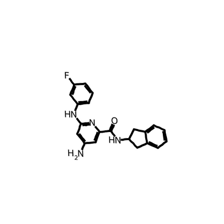 Nc1cc(Nc2cccc(F)c2)nc(C(=O)NC2Cc3ccccc3C2)c1